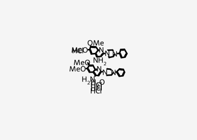 COc1cc2nc(N3CCN(c4ccccc4)CC3)cc(N)c2cc1OC.COc1cc2nc(N3CCN(c4ccccc4)CC3)cc(N)c2cc1OC.Cl.Cl.Cl.Cl.O